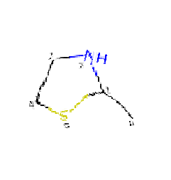 CC1NCCS1